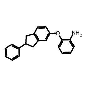 Nc1ccccc1Oc1ccc2c(c1)CC(c1ccccc1)C2